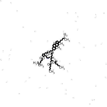 CC/C=C\CC1C(CC(=O)OCCC(OC(=O)CCCCC(COC(=O)CCCCC)COC(=O)CCCCC)C2CC[C@@]3(C)C(=CC[C@H]4C5CCC(CCCCC(C)C)[C@@]5(C)CCC43)C2)CCC1OC(=O)CCCN(C)C